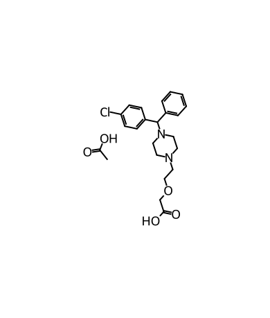 CC(=O)O.O=C(O)COCCN1CCN(C(c2ccccc2)c2ccc(Cl)cc2)CC1